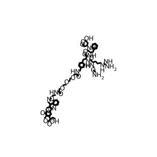 CC[C@@]1(O)C(=O)OCc2c1cc1n(c2=O)Cc2c-1nc1ccccc1c2/C=N\OCCNC(=O)COCCOCCOCC(=O)NCc1ccc(CC(NC(=O)C(CCCNC(=N)N)NCOCN)C(=O)NC(Cc2ccccc2)C(=O)NC(C=O)CC(=O)O)cc1